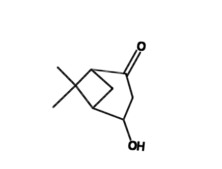 CC1(C)C2CC1C(O)CC2=O